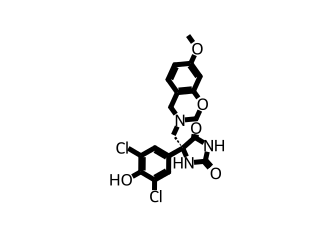 COc1ccc2c(c1)OCN(C[C@@]1(c3cc(Cl)c(O)c(Cl)c3)NC(=O)NC1=O)C2